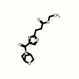 CCOC(=O)CCc1nc(C(=O)N2CC3CC2CO3)co1